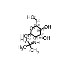 CC(C)(C)N[C@@H]1C(O)O[C@H](CO)[C@@H](O)[C@@H]1O